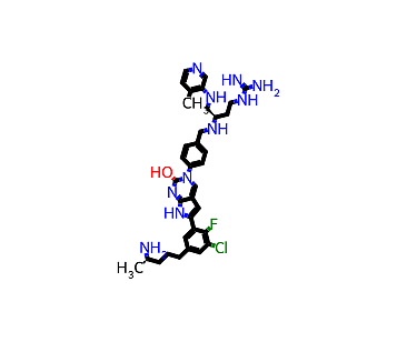 Cc1ccncc1NC[C@@H](CCNC(=N)N)NCc1ccc(N2C=c3cc(-c4cc(CCC[C@H](C)N)cc(Cl)c4F)[nH]c3=NC2O)cc1